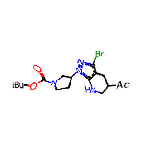 CC(=O)C1CNc2c(c(Br)nn2C2CCN(C(=O)OC(C)(C)C)C2)C1